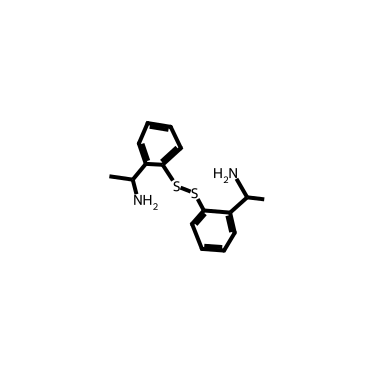 CC(N)c1ccccc1SSc1ccccc1C(C)N